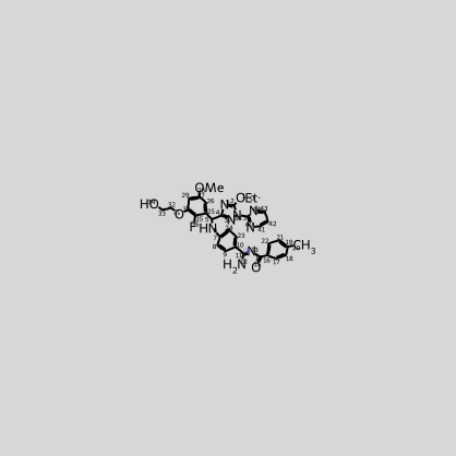 C[CH]Oc1nc(C(Nc2ccc(/C(N)=N/C(=O)c3ccc(C)cc3)cc2)c2cc(OC)cc(OCCO)c2F)nn1-c1ncccn1